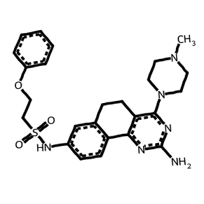 CN1CCN(c2nc(N)nc3c2CCc2cc(NS(=O)(=O)CCOc4ccccc4)ccc2-3)CC1